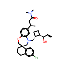 C=CC(O)[C@@H]1CC[C@H]1CN1C[C@@]2(CCCc3cc(Cl)ccc32)COc2ccc([C@H](C)CC(=O)N(C)C)cc21